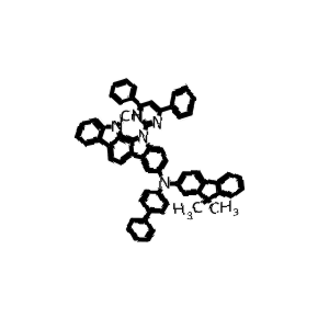 Cn1c2ccccc2c2ccc3c4cc(N(c5ccc(-c6ccccc6)cc5)c5ccc6c(c5)C(C)(C)c5ccccc5-6)ccc4n(-c4nc(-c5ccccc5)cc(-c5ccccc5)n4)c3c21